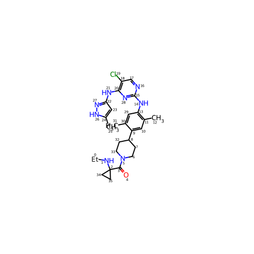 CCNC1(C(=O)N2CCC(c3cc(C)c(Nc4ncc(Cl)c(Nc5cc(C)[nH]n5)n4)cc3C)CC2)CC1